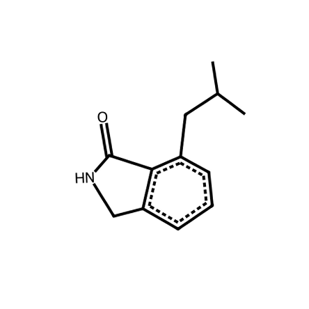 CC(C)Cc1cccc2c1C(=O)NC2